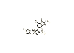 COc1c(-c2nnc(Cc3ccc(F)cc3)[nH]2)cc(Cl)c2[nH]c(C)nc12